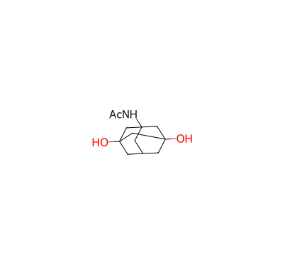 CC(=O)NC12CC3CC(O)(CC(O)(C3)C1)C2